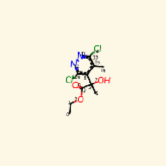 CCOC(=O)C(C)(O)c1c(Cl)nnc(Cl)c1C